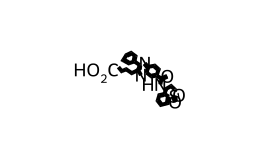 O=C(O)CCCCc1nc2cc(C(=O)N[C@@H]3CCS(=O)(=O)c4ccccc43)ccc2nc1-c1ccccc1